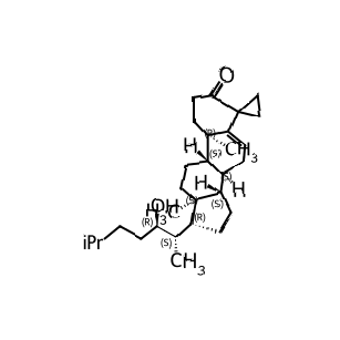 CC(C)CC[C@@H](O)[C@@H](C)[C@H]1CC[C@H]2[C@@H]3CC=C4C5(CC5)C(=O)CC[C@]4(C)[C@H]3CC[C@]12C